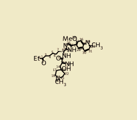 CCC(=O)CCCCC[C@H](NC(=O)C(=N)CC1(O)CCN(C)CC1)c1ncc(-c2cc3ccc(C)nc3cc2OC)[nH]1